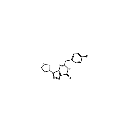 O=c1[nH]c(Cc2ccc(F)cc2)nc2c1cnn2C1CCOC1